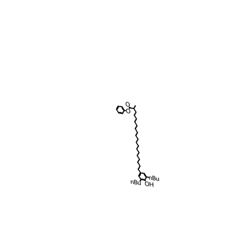 CCCCc1cc(CCCCCCCCCCCCCCCCCCC(C)C(=O)Oc2ccccc2)cc(CCCC)c1O